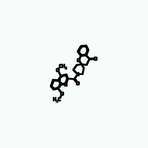 COc1cc(C(=O)N2CCC3(CC2)CC(=O)c2ccccc2O3)nc2c(OC)cccc12